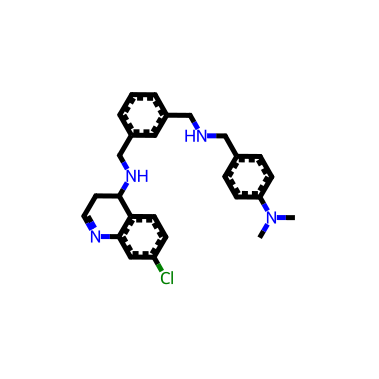 CN(C)c1ccc(CNCc2cccc(CNC3CC=Nc4cc(Cl)ccc43)c2)cc1